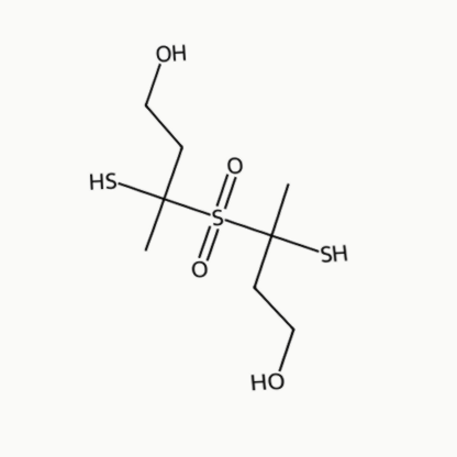 CC(S)(CCO)S(=O)(=O)C(C)(S)CCO